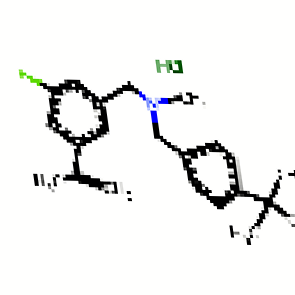 C=C(C)c1cc(F)cc(CN(C)Cc2ccc(C(C)(C)C)cc2)c1.Cl